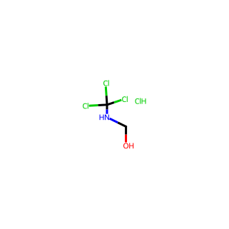 Cl.OCNC(Cl)(Cl)Cl